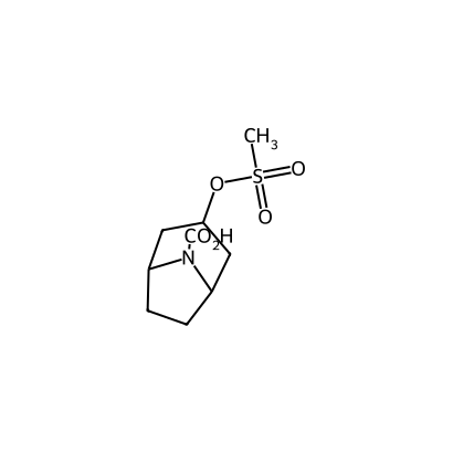 CS(=O)(=O)OC1CC2CCC(C1)N2C(=O)O